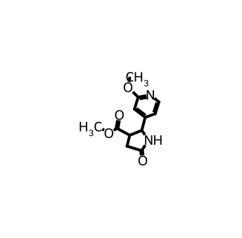 COC(=O)C1CC(=O)NC1c1ccnc(OC)c1